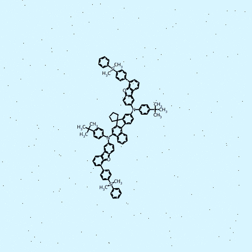 CC(C)(C)c1ccc(N(c2ccc3c(c2)C2(CCCC2)c2cc(N(c4ccc(C(C)(C)C)cc4)c4ccc5oc6c(-c7ccc([Si](C)(C)c8ccccc8)cc7)cccc6c5c4)c4ccccc4c2-3)c2ccc3oc4c(-c5ccc([Si](C)(C)c6ccccc6)cc5)cccc4c3c2)cc1